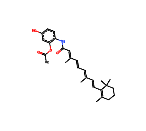 CC(=O)C(=O)Oc1cc(O)ccc1NC(=O)/C=C(C)/C=C/C=C(C)/C=C/C1=C(C)CCCC1(C)C